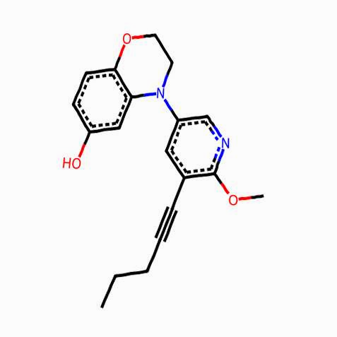 CCCC#Cc1cc(N2CCOc3ccc(O)cc32)cnc1OC